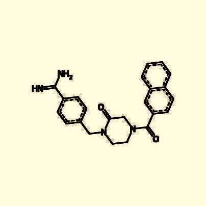 N=C(N)c1ccc(CN2CCN(C(=O)c3ccc4ccccc4c3)CC2=O)cc1